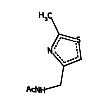 CC(=O)NCc1csc(C)n1